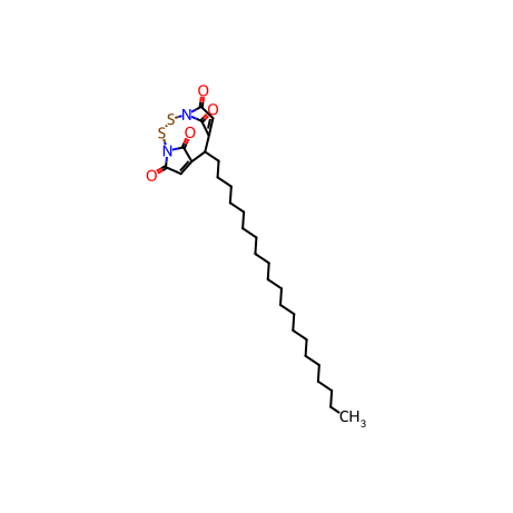 CCCCCCCCCCCCCCCCCCCCCC1C2=CC(=O)N(SSN3C(=O)C=C1C3=O)C2=O